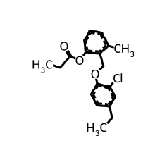 CCC(=O)Oc1cccc(C)c1COc1ccc(CC)cc1Cl